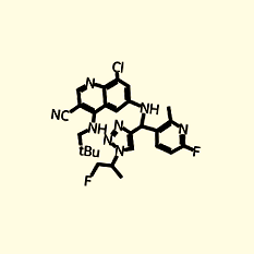 Cc1nc(F)ccc1C(Nc1cc(Cl)c2ncc(C#N)c(NCC(C)(C)C)c2c1)c1cn(C(C)CF)nn1